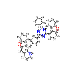 c1ccc(-c2nc(-c3cccc(-c4cccc5oc6cc7cccnc7cc6c45)c3)nc(-c3cccc4oc5ccccc5c34)n2)cc1